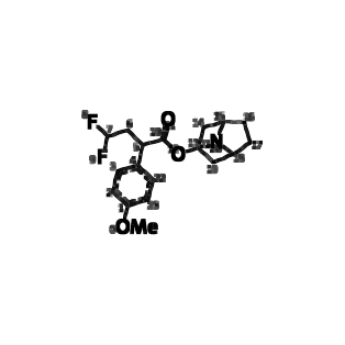 COc1ccc(C(CC(F)F)C(=O)OC2CC3CCC(C2)N3C)cc1